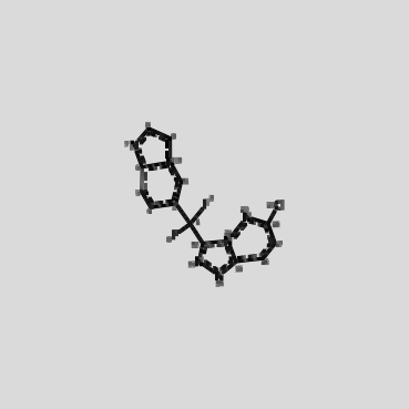 FC(F)(c1ccc2nccn2c1)c1nnc2ccc(Cl)nn12